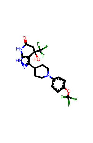 O=C1CC(O)(C(F)(F)F)c2c(C3CCN(c4ccc(OC(F)(F)F)cc4)CC3)n[nH]c2N1